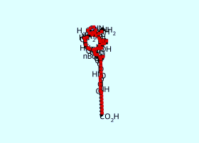 C=C1/C=C\C=C/CN/C=C\1C[C@@H]1NC(=O)[C@H](CCCNC(=N)N)NC(=O)[C@@H](Cc2ccccc2)NC(=O)[C@@H]2C[C@@H](O)CN2C(=O)[C@@H](NC(=O)[C@H](CCCC)NC(=O)[C@@H]2CCCN2C(=O)COCCOCCNC(=O)COCCOCCNC(=O)CCCCCCCCCCCCCCC(=O)O)CCC(=O)NCCCC[C@@H](C(N)=O)NC1=O